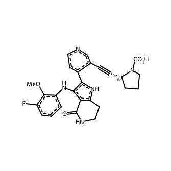 COc1c(F)cccc1Nc1c(-c2ccncc2C#C[C@H]2CCCN2C(=O)O)[nH]c2c1C(=O)NCC2